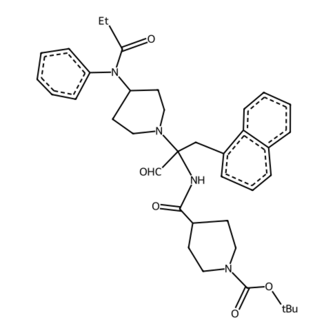 CCC(=O)N(c1ccccc1)C1CCN(C(C=O)(Cc2cccc3ccccc23)NC(=O)C2CCN(C(=O)OC(C)(C)C)CC2)CC1